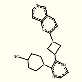 N#CC1CCN(c2nccnc2C2CN(c3ccc4cnccc4n3)C2)CC1